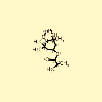 C=C(C)C(=O)OC1CC(C)(C)N(OCCC)C(C)(C)C1